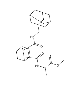 COC(=O)C(C)NC(=O)C1C2C=CC(CC2)C1C(=O)NCC12CC3CC(CC(C3)C1)C2